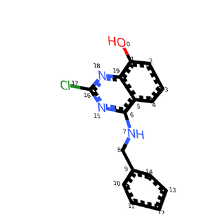 Oc1cccc2c(NCc3ccccc3)nc(Cl)nc12